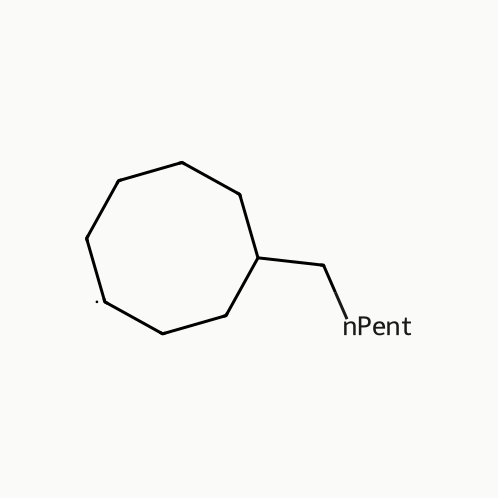 CCCCCCC1CC[CH]CCCC1